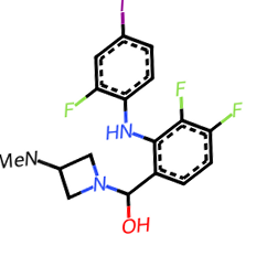 CNC1CN(C(O)c2ccc(F)c(F)c2Nc2ccc(I)cc2F)C1